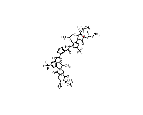 C[C@@H](CCNC(=O)OC(C)(C)C)Oc1c(NC(=O)CCCCN)cc(C(F)(F)F)cc1NC(=O)c1cc(C(=O)Nc2cc(C(F)(F)F)cc3c2O[C@@H](C)CCN(C(=O)OC(C)(C)C)N3C(=O)CCCCN)ncn1